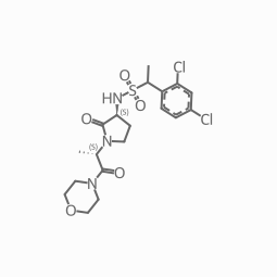 CC(c1ccc(Cl)cc1Cl)S(=O)(=O)N[C@H]1CCN([C@@H](C)C(=O)N2CCOCC2)C1=O